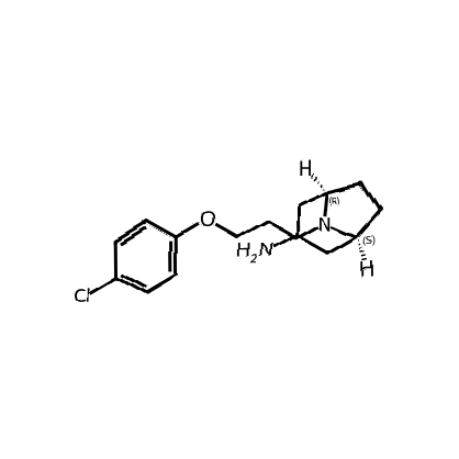 NC1C[C@H]2CC[C@@H](C1)N2CCCOc1ccc(Cl)cc1